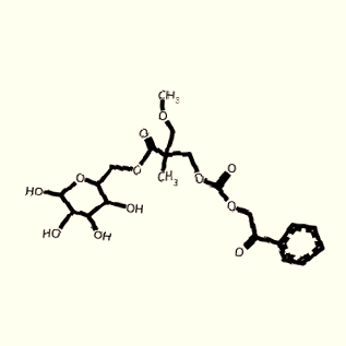 COCC(C)(COC(=O)OCC(=O)c1ccccc1)C(=O)OCC1OC(O)C(O)C(O)C1O